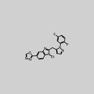 CCn1c(Cc2ccnn2-c2cc(F)ccc2F)nc2cc(-c3nnco3)ccc21